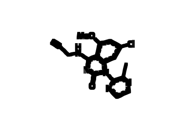 C#CCNc1nc(=O)n(-c2nccnc2C)c2cc(Cl)cc(OC)c12